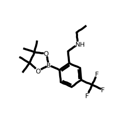 CCNCc1cc(C(F)(F)F)ccc1B1OC(C)(C)C(C)(C)O1